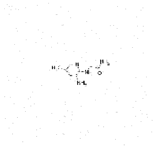 Cc1cnc(NCC(N)=O)c(N)c1